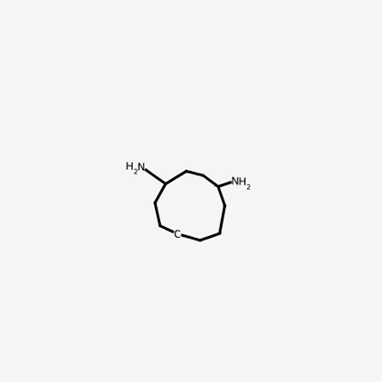 N[C]1CCCCCCC(N)CC1